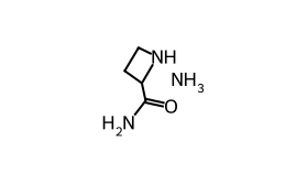 N.NC(=O)C1CCN1